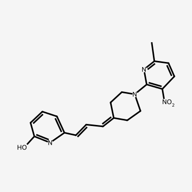 Cc1ccc([N+](=O)[O-])c(N2CCC(=C/C=C/c3cccc(O)n3)CC2)n1